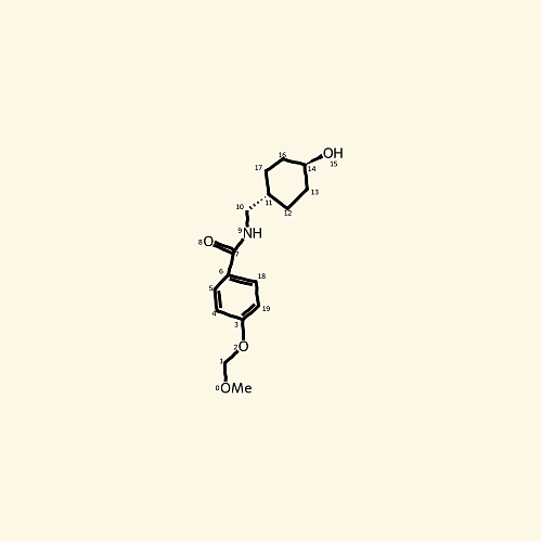 COCOc1ccc(C(=O)NC[C@H]2CC[C@H](O)CC2)cc1